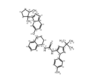 Cc1ccc(-n2nc(C(C)(C)C)cc2NC(=O)N[C@H]2CC[C@@H](Oc3ccc4nnc(C5(C)CCCN5C)n4c3)c3ccccc32)cc1